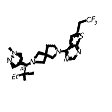 CCC(C)(C)[C@@H](c1cnn(C)c1)N1CC2(CCN(c3ncnc4sc(CC(F)(F)F)cc34)C2)C1